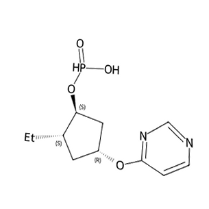 CC[C@H]1C[C@@H](Oc2ccncn2)C[C@@H]1O[PH](=O)O